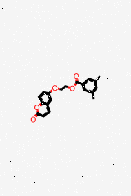 Cc1cc(C)cc(C(=O)OCCOc2ccc3oc(=O)ccc3c2)c1